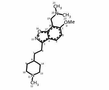 COc1ccc2c(CCC3CCN(C)CC3)noc2c1CN(C)C